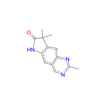 Cc1ncc2cc3c(cc2n1)C(C)(C)C(=O)N3